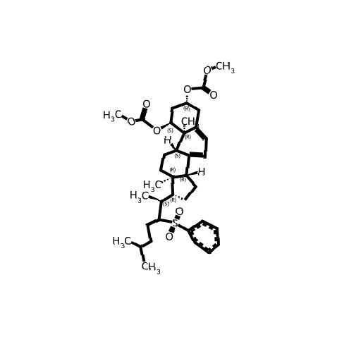 COC(=O)O[C@@H]1CC2=CC=C3[C@@H]4CC[C@H]([C@H](C)C(CCC(C)C)S(=O)(=O)c5ccccc5)[C@@]4(C)CC[C@@H]3[C@@]2(C)[C@@H](OC(=O)OC)C1